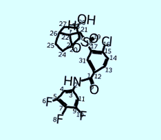 O=C(Nc1cc(F)c(F)c(F)c1)c1ccc(Cl)c(S(=O)(=O)C[C@H]2C3CCC2C[C@H](O)C3)c1